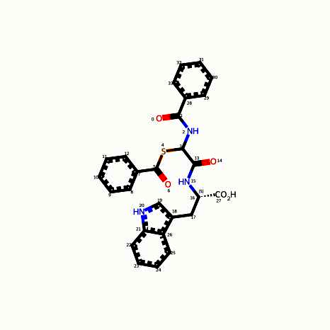 O=C(NC(SC(=O)c1ccccc1)C(=O)N[C@@H](Cc1c[nH]c2ccccc12)C(=O)O)c1ccccc1